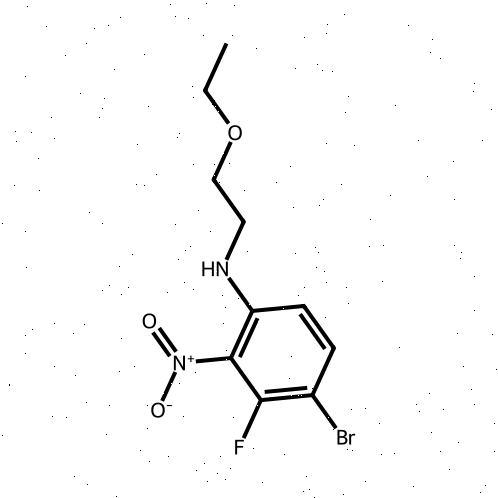 CCOCCNc1ccc(Br)c(F)c1[N+](=O)[O-]